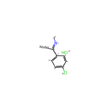 C/N=C(\NC)c1ccc(Cl)cc1.Cl